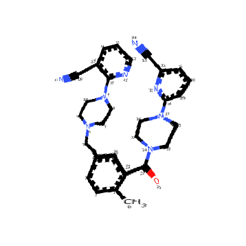 Cc1ccc(CN2CCN(c3ncccc3C#N)CC2)cc1C(=O)N1CCN(c2cccc(C#N)n2)CC1